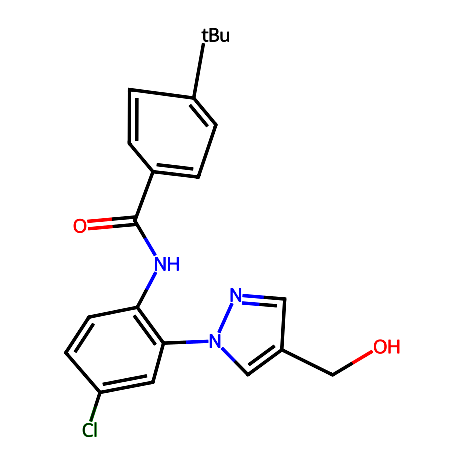 CC(C)(C)c1ccc(C(=O)Nc2ccc(Cl)cc2-n2cc(CO)cn2)cc1